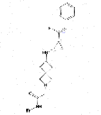 CC/C(=C\c1ccccc1)[C@H]1C[C@@H]1NC1CC2(C1)CN(CC(=O)NC(C)C)C2